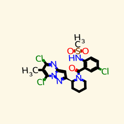 Cc1c(Cl)nc2cc([C@@H]3CCCCN3C(=O)c3cc(Cl)ccc3NS(C)(=O)=O)nn2c1Cl